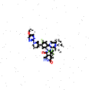 COc1cnc(N2CCC=C(c3cc(NC(=O)c4c[nH]c(=O)cc4C(F)(F)F)c(N4CC(C)N(C)C(C)C4)cc3F)C2)nc1